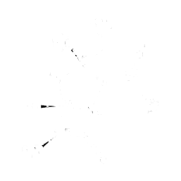 C=C[C@@]1(C)S[C@H]2[C@H](N)C(=O)N2C1C(=O)O